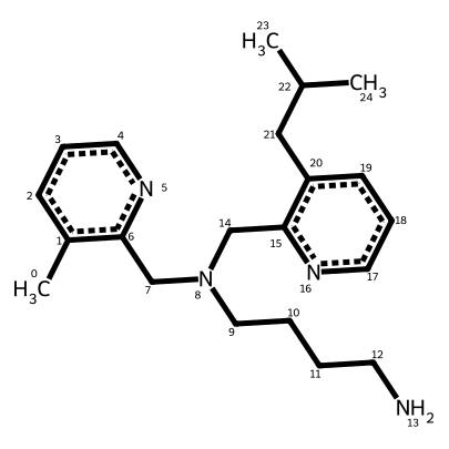 Cc1cccnc1CN(CCCCN)Cc1ncccc1CC(C)C